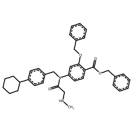 CNCC(=O)N(Cc1ccc(C2CCCCC2)cc1)c1ccc(C(=O)OCc2ccccc2)c(OCc2ccccc2)c1